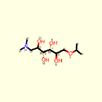 CC(C)OCC(O)[C@@H](O)[C@H](O)C(O)CN(C)C